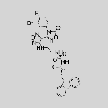 O=C(NS(=O)(=O)NCCNc1nonc1-c1noc(=O)n1-c1ccc(F)c(Br)c1)OCC1c2ccccc2-c2ccccc21